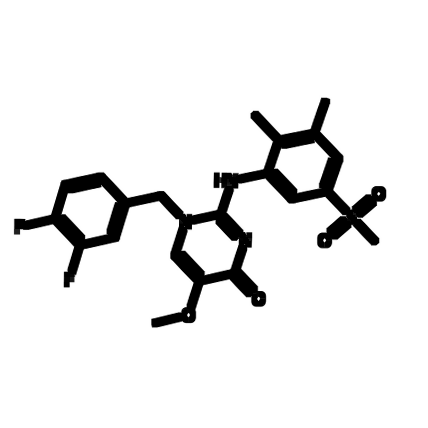 COc1cn(Cc2ccc(F)c(F)c2)c(Nc2cc(S(C)(=O)=O)cc(C)c2C)nc1=O